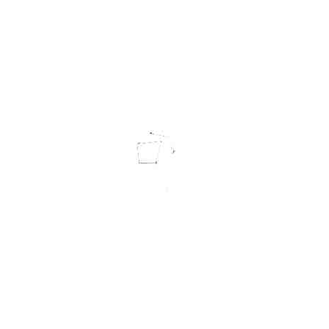 CC1(C)CC(=O)C2(CCC(=O)O)CC1C2